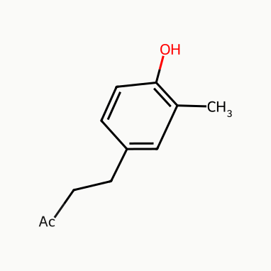 CC(=O)CCc1ccc(O)c(C)c1